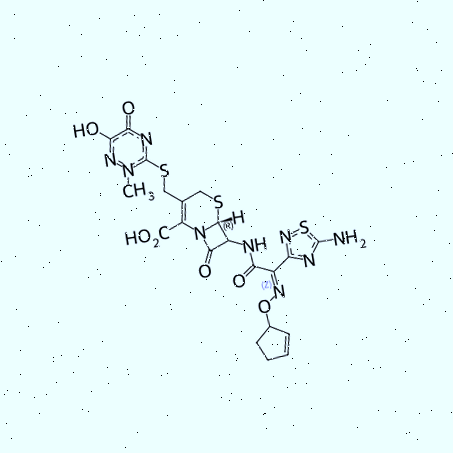 Cn1nc(O)c(=O)nc1SCC1=C(C(=O)O)N2C(=O)C(NC(=O)/C(=N\OC3C=CCC3)c3nsc(N)n3)[C@H]2SC1